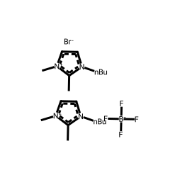 CCCCn1cc[n+](C)c1C.CCCCn1cc[n+](C)c1C.F[B-](F)(F)F.[Br-]